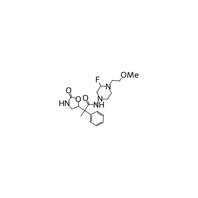 COCCN1CCN(NC(=O)C(C)(c2ccccc2)C2CNC(=O)O2)CC1F